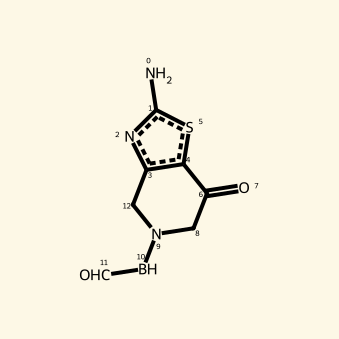 Nc1nc2c(s1)C(=O)CN(BC=O)C2